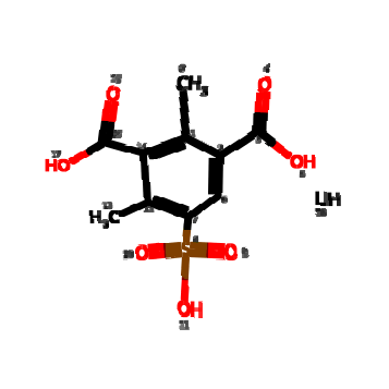 Cc1c(C(=O)O)cc(S(=O)(=O)O)c(C)c1C(=O)O.[LiH]